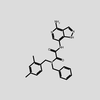 Cc1ccc(CN(Cc2ccccc2)C(=O)C(=O)Nc2cnc(N)c3cn[nH]c23)c(C)c1